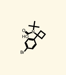 CC(C)(C)N(C(=O)O)C1(c2ccc(Br)cc2)CCC1